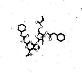 CCC(=O)OCC1OC(n2cnc3c(NC)nc(NC(=O)CC4CCCCC4)nc32)[C@](C)(F)[C@@H]1OC(=O)CC1CCCCC1